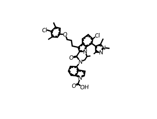 Cc1cc(OCCCc2c3n(c4c(-c5c(C)nn(C)c5C)c(Cl)ccc24)C(C)CN(c2cccc4c2ccn4C(=O)O)C3=O)cc(C)c1Cl